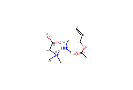 C=CCOC(C)=O.CNC.C[N+](C)(C)CC(=O)[O-]